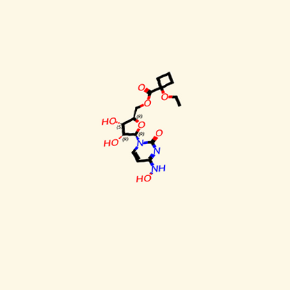 CCOC1(C(=O)OC[C@H]2O[C@@H](n3ccc(NO)nc3=O)[C@H](O)[C@@H]2O)CCC1